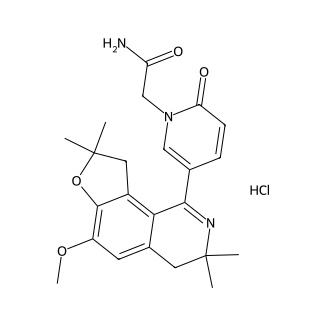 COc1cc2c(c3c1OC(C)(C)C3)C(c1ccc(=O)n(CC(N)=O)c1)=NC(C)(C)C2.Cl